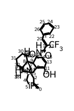 C=CC[N+]1(CC(C)C)CC[C@]23C4C5=C(O)C=CC4(NC(=O)C(=Cc4ccccc4)C(F)(F)F)O[C@H]2CCC[C@H]3[C@H]1C5